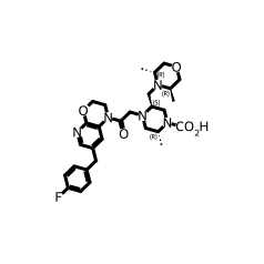 C[C@@H]1CN(CC(=O)N2CCOc3ncc(Cc4ccc(F)cc4)cc32)[C@@H](CN2[C@H](C)COC[C@H]2C)CN1C(=O)O